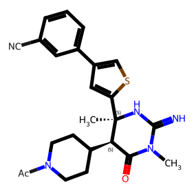 CC(=O)N1CCC([C@@H]2C(=O)N(C)C(=N)N[C@]2(C)c2cc(-c3cccc(C#N)c3)cs2)CC1